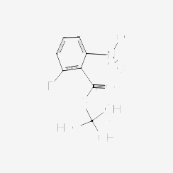 CC(C)(C)OC(=O)c1c(F)cccc1[N+](=O)[O-]